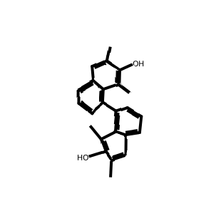 Cc1cc2cccc(-c3cccc4cc(C)c(O)c(C)c34)c2c(C)c1O